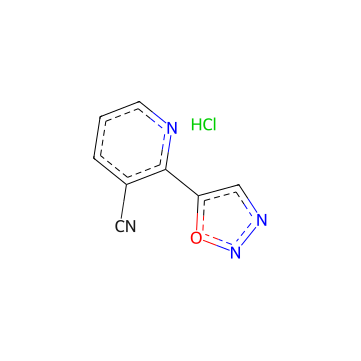 Cl.N#Cc1cccnc1-c1cnno1